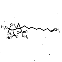 C=CCCCCCCCC1(S(N)(=O)=O)CC1N(C(=O)O)C(C)(C)C